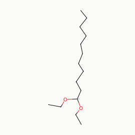 CCCCCCCCCC[C](OCC)OCC